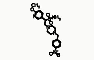 COc1ccc(C(CN2CCN(Cc3ccc([N+](=O)[O-])cc3)CC2)S(N)(=O)=O)cn1